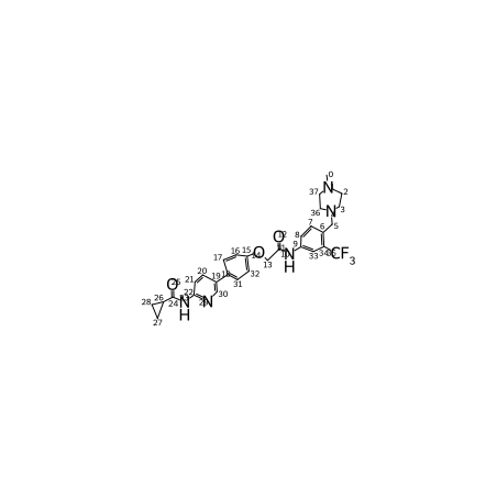 CN1CCN(Cc2ccc(NC(=O)COc3ccc(-c4ccc(NC(=O)C5CC5)nc4)cc3)cc2C(F)(F)F)CC1